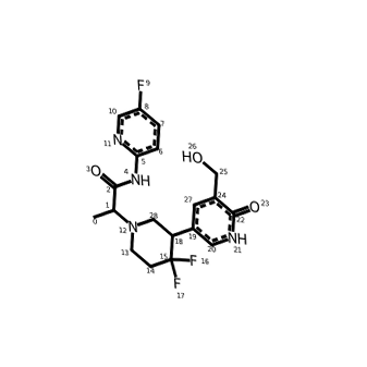 CC(C(=O)Nc1ccc(F)cn1)N1CCC(F)(F)C(c2c[nH]c(=O)c(CO)c2)C1